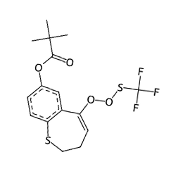 CC(C)(C)C(=O)Oc1ccc2c(c1)C(OOSC(F)(F)F)=CCCS2